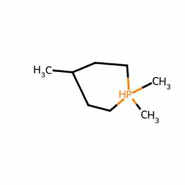 CC1CC[PH](C)(C)CC1